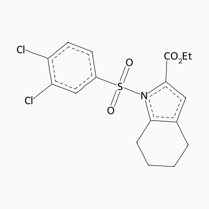 CCOC(=O)c1cc2c(n1S(=O)(=O)c1ccc(Cl)c(Cl)c1)CCCC2